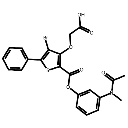 CC(=O)N(C)c1cccc(OC(=O)c2sc(-c3ccccc3)c(Br)c2OCC(=O)O)c1